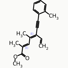 C=C/C(C#Cc1ccccc1C)=C(C)\C=C(/C)C(=O)OC